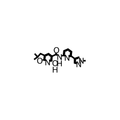 Cn1cc(-c2cccc(NC(=O)c3cc4c(nc3O)OC(C)(C)C4)n2)cn1